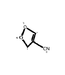 N#CC1=COOC1